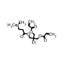 C=CC(=O)OCC(CC)(COC(=O)C=C)COC(=O)CCN(C)C